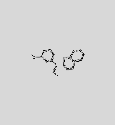 C/C=C(/c1cccc(OC)c1)c1ccc2ccccc2n1